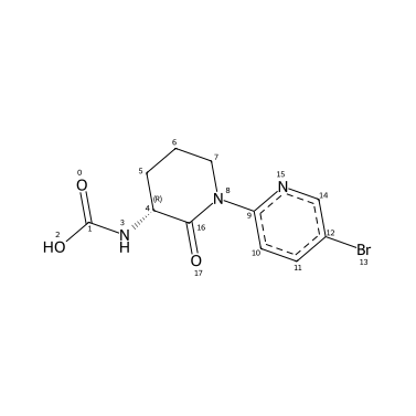 O=C(O)N[C@@H]1CCCN(c2ccc(Br)cn2)C1=O